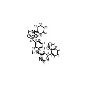 COc1ccccc1-c1cc(Nc2cccc(CS(=O)(=O)NC3CCCCC3)c2)ncn1